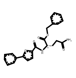 NC(=O)CC[C@H](NC(=O)c1ccc(-c2ccccc2)o1)C(=O)OCc1ccccc1